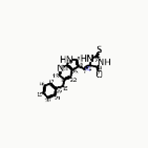 O=C1NC(=S)N/C1=C\c1c[nH]c2ncc(Cc3ccccc3)cc12